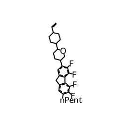 C=CC1CCC(C2CCC(c3cc4c(c(F)c3F)-c3c(cc(CCCCC)c(F)c3F)C4)CO2)CC1